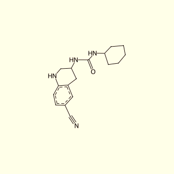 N#Cc1ccc2c(c1)CC(NC(=O)NC1CCCCC1)CN2